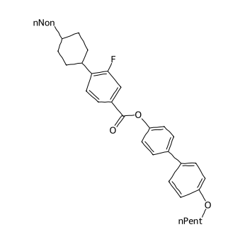 CCCCCCCCCC1CCC(c2ccc(C(=O)Oc3ccc(-c4ccc(OCCCCC)cc4)cc3)cc2F)CC1